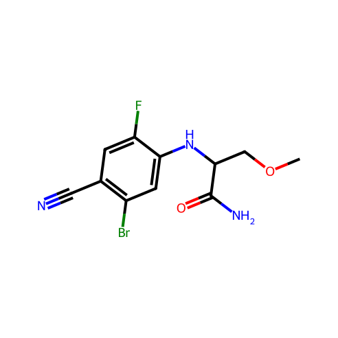 COCC(Nc1cc(Br)c(C#N)cc1F)C(N)=O